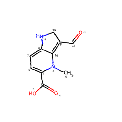 CN1C(C(=O)O)=CC=C2NCC(C=O)=C21